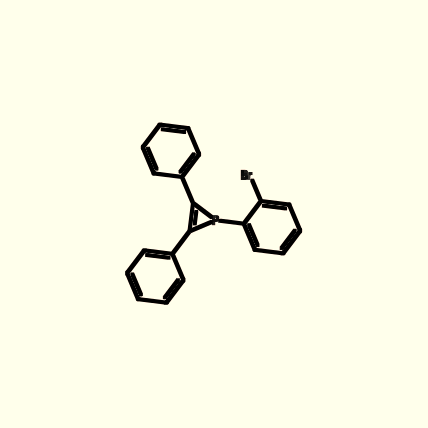 Brc1ccccc1P1C(c2ccccc2)=C1c1ccccc1